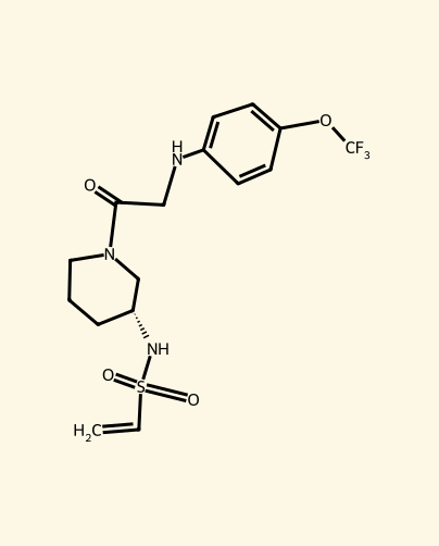 C=CS(=O)(=O)N[C@@H]1CCCN(C(=O)CNc2ccc(OC(F)(F)F)cc2)C1